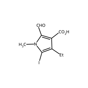 CCc1c(C(=O)O)c(C=O)n(C)c1I